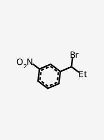 CCC(Br)c1cccc([N+](=O)[O-])c1